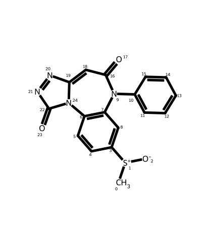 C[S+]([O-])c1ccc2c(c1)n(-c1ccccc1)c(=O)cc1nnc(=O)n2-1